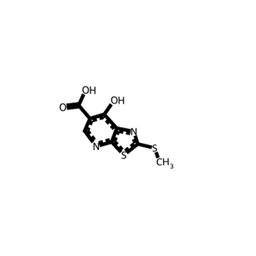 CSc1nc2c(O)c(C(=O)O)cnc2s1